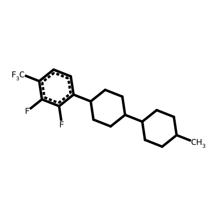 CC1CCC(C2CCC(c3ccc(C(F)(F)F)c(F)c3F)CC2)CC1